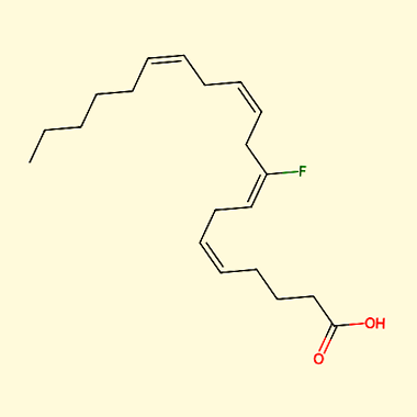 CCCCC/C=C\C/C=C\C/C(F)=C\C/C=C\CCCC(=O)O